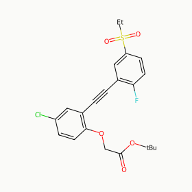 CCS(=O)(=O)c1ccc(F)c(C#Cc2cc(Cl)ccc2OCC(=O)OC(C)(C)C)c1